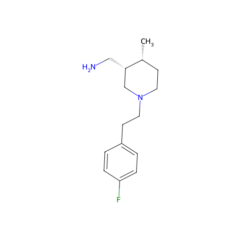 C[C@@H]1CCN(CCc2ccc(F)cc2)C[C@@H]1CN